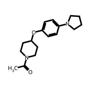 CC(=O)N1CCC(Oc2ccc(N3CCCC3)cc2)CC1